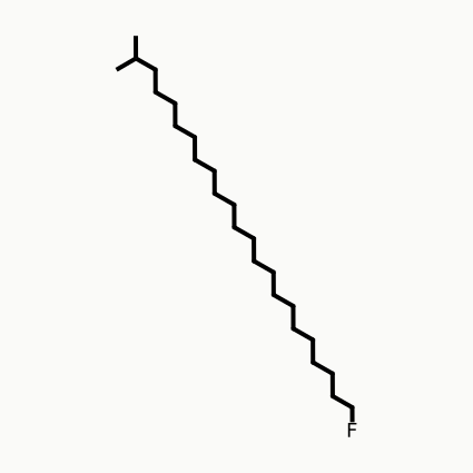 CC(C)CCCCCCCCCCCCCCCCCCCCCF